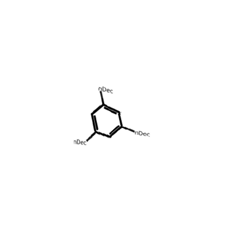 CCCCCCCCCCc1[c]c(CCCCCCCCCC)cc(CCCCCCCCCC)c1